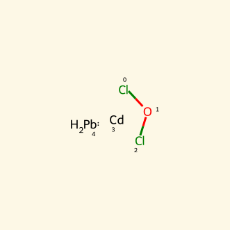 ClOCl.[Cd].[PbH2]